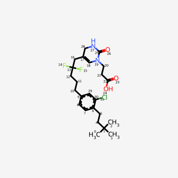 CC(C)(C)CCc1ccc(CCCC(F)(F)CC2=CN(CCC(=O)O)C(=O)NC2)cc1Cl